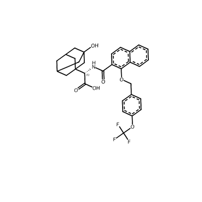 O=C(N[C@H](C(=O)O)C12CC3CC(CC(O)(C3)C1)C2)c1ccc2ccccc2c1OCc1ccc(OC(F)(F)F)cc1